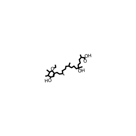 CCOC1C(CC[C@H](C)CCCC(C)CCCC(C)(O)CCCC(C)C(=O)O)=CC(O)C(C)C1C